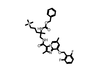 Cc1cc(OCc2c(F)cccc2F)c2nc(C)c(C(=O)NCC(C)(CCCS(C)(C)C)NC(=O)OCc3ccccc3)n2c1